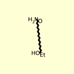 CCC(O)CCCCCCCCCCCCCCC(N)=O